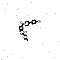 Cc1cnc(C(=O)Nc2cc(C(=O)N3CCC(c4ccc(C#N)cc4)CC3)ccc2C)cn1